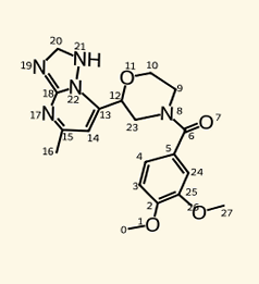 COc1ccc(C(=O)N2CCOC(C3=CC(C)=NC4=NCNN34)C2)cc1OC